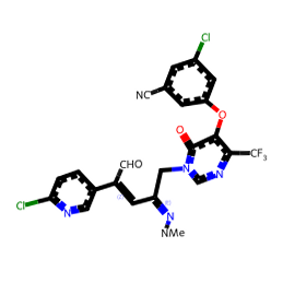 CN/N=C(\C=C(/C=O)c1ccc(Cl)nc1)Cn1cnc(C(F)(F)F)c(Oc2cc(Cl)cc(C#N)c2)c1=O